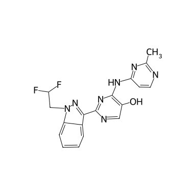 Cc1nccc(Nc2nc(-c3nn(CC(F)F)c4ccccc34)ncc2O)n1